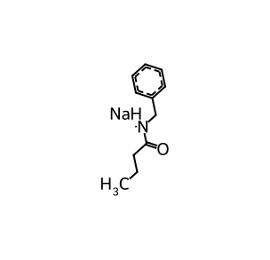 CCCC(=O)[N]Cc1ccccc1.[NaH]